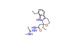 CCc1cccc2c3c([nH]c12)C(CC)(CC(=O)NNC(=S)NC)OCC3